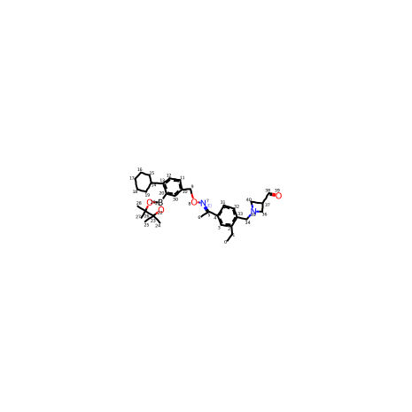 CCc1cc(/C(C)=N/OCc2ccc(C3CCCCC3)c(B3OC(C)(C)C(C)(C)O3)c2)ccc1CN1CC(C=O)C1